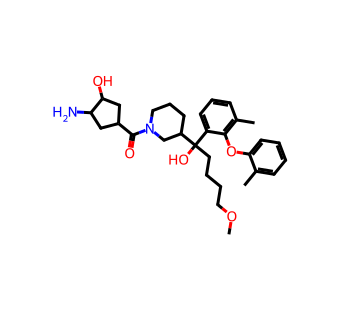 COCCCCC(O)(c1cccc(C)c1Oc1ccccc1C)C1CCCN(C(=O)C2CC(N)C(O)C2)C1